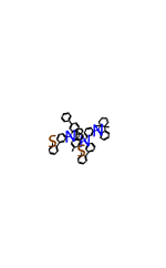 Cc1cc2c3c(c1)N(c1cccc4c1sc1ccccc14)c1cc(N4c5ccccc5C5(C)CCCCC45C)ccc1B3c1ccc(-c3ccccc3)cc1N2c1ccc2sc3ccccc3c2c1